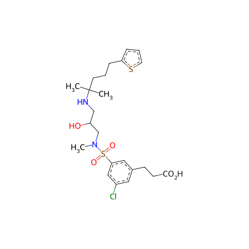 CN(CC(O)CNC(C)(C)CCCc1cccs1)S(=O)(=O)c1cc(Cl)cc(CCC(=O)O)c1